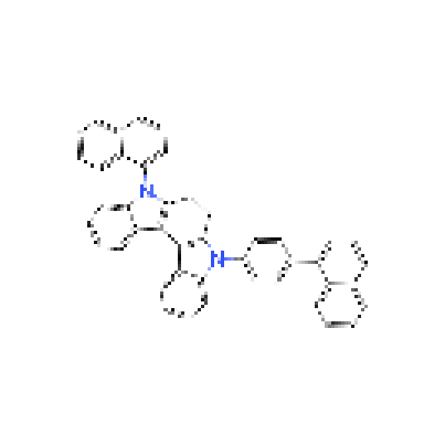 c1ccc2c(-c3ccc(-n4c5c(c6ccccc64)-c4c(n(-c6cccc7ccccc67)c6ccccc46)CC5)cc3)cccc2c1